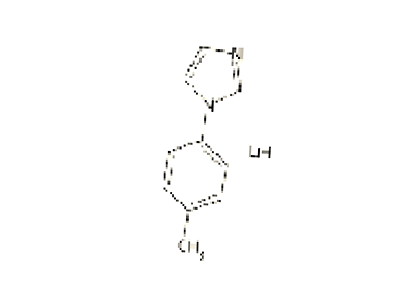 Cc1ccc(-n2ccnc2)cc1.[LiH]